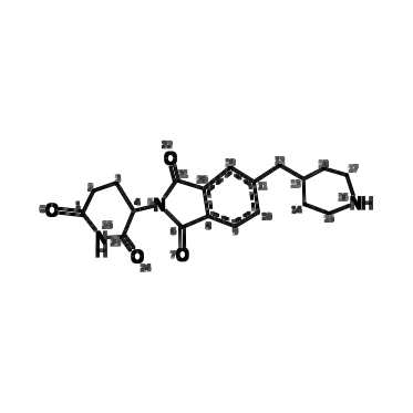 O=C1CCC(N2C(=O)c3ccc(CC4CCNCC4)cc3C2=O)C(=O)N1